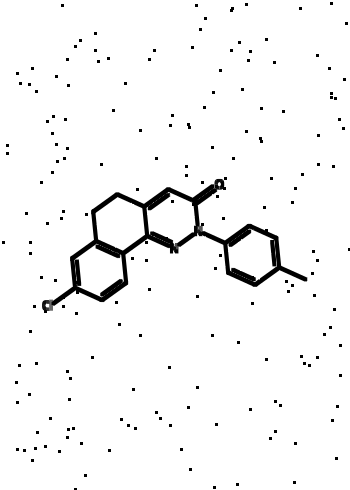 Cc1ccc(-n2nc3c(cc2=O)CCc2cc(Cl)ccc2-3)cc1